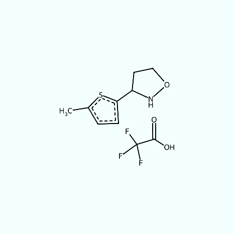 Cc1ccc(C2CCON2)s1.O=C(O)C(F)(F)F